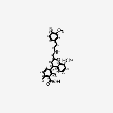 COc1cc(CCNCC2CC(c3ccc(C)c(C(=O)O)c3C)c3ccccc3O2)ccc1F.Cl